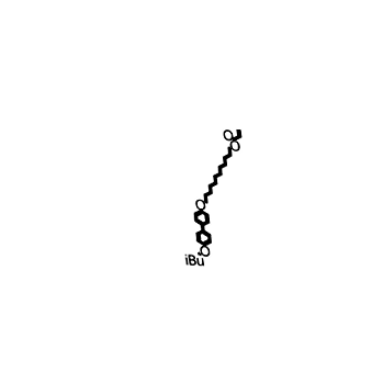 C=CC(=O)OCCCCCCCCCCCCOc1ccc(-c2ccc(OCC(C)CC)cc2)cc1